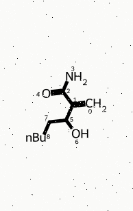 C=C(C(N)=O)C(O)CCCCC